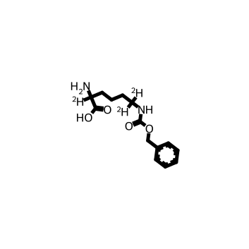 [2H]C([2H])(CCCC([2H])(N)C(=O)O)NC(=O)OCc1ccccc1